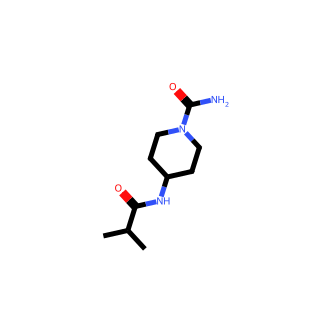 CC(C)C(=O)NC1CCN(C(N)=O)CC1